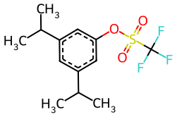 CC(C)c1cc(OS(=O)(=O)C(F)(F)F)cc(C(C)C)c1